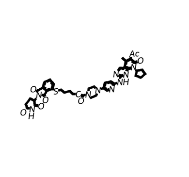 CC(=O)c1c(C)c2cnc(Nc3ccc(N4CCN(C(=O)CCCCCSc5cccc6c5C(=O)N(C5CCC(=O)NC5=O)C6=O)CC4)cn3)nc2n(C2CCCC2)c1=O